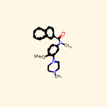 COc1ccc(N(C)C(=O)c2ccc3ccccc3c2)cc1N1CCN(C)CC1